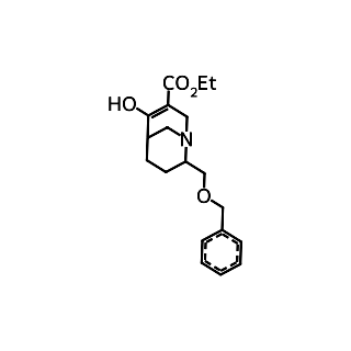 CCOC(=O)C1=C(O)C2CCC(COCc3ccccc3)N(C1)C2